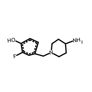 NC1CCN(Cc2ccc(O)c(F)c2)CC1